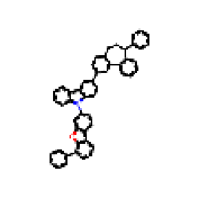 c1ccc(-c2cccc3c2oc2cc(-n4c5ccccc5c5cc(-c6ccc7c(c6)-c6ccccc6C(c6ccccc6)CC7)ccc54)ccc23)cc1